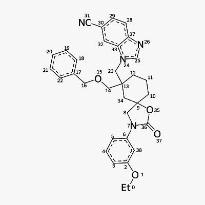 CCOc1cccc(N2CC3(CCCC(COCc4ccccc4)(Cn4cnc5ccc(C#N)cc54)C3)OC2=O)c1